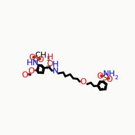 CS(=O)(=O)Nc1cc([C@@H](O)CNCCCCCCCOCCCc2cccc(S(N)(=O)=O)c2)ccc1OC=O